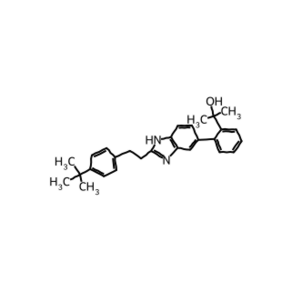 CC(C)(C)c1ccc(CCc2nc3cc(-c4ccccc4C(C)(C)O)ccc3[nH]2)cc1